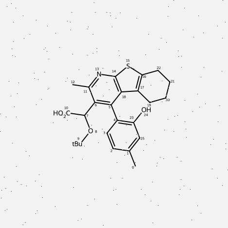 Cc1ccc(-c2c(C(OC(C)(C)C)C(=O)O)c(C)nc3sc4c(c23)CCCC4)c(O)c1